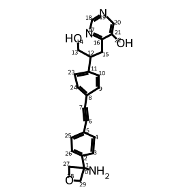 NC1(c2ccc(C#Cc3ccc(C(CO)Cc4ncncc4O)cc3)cc2)COC1